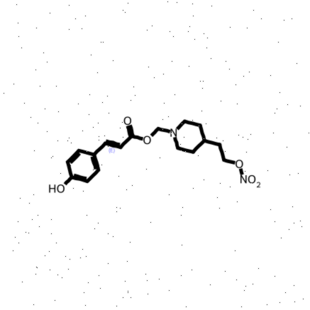 O=C(/C=C/c1ccc(O)cc1)OCN1CCC(CCO[N+](=O)[O-])CC1